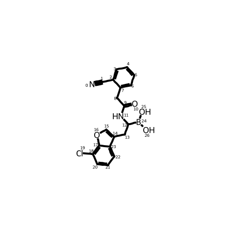 N#Cc1ccccc1CC(=O)NC(Cc1coc2c(Cl)cccc12)B(O)O